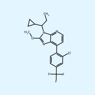 CCC(C1CC1)n1c(OC)nc2c(-c3ccc(C(F)(F)F)cc3Cl)ccnc21